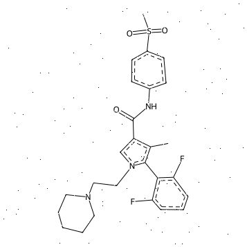 Cc1c(C(=O)Nc2ccc(S(C)(=O)=O)cc2)cn(CCN2CCCCC2)c1-c1c(F)cccc1F